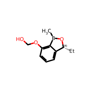 CC[C@H]1OB(C)c2c(OCO)cccc21